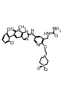 Cn1c(=O)c(-c2c(Cl)cccc2Cl)cc2cnc(Nc3cnc(OCCN4CCS(=O)(=O)CC4)c(CNC(N)=O)c3)nc21